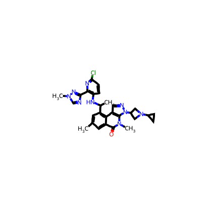 Cc1cc(C(C)Nc2ccc(Cl)nc2-c2ncn(C)n2)c2c(c1)c(=O)n(C)c1c2cnn1C1CN(C2CC2)C1